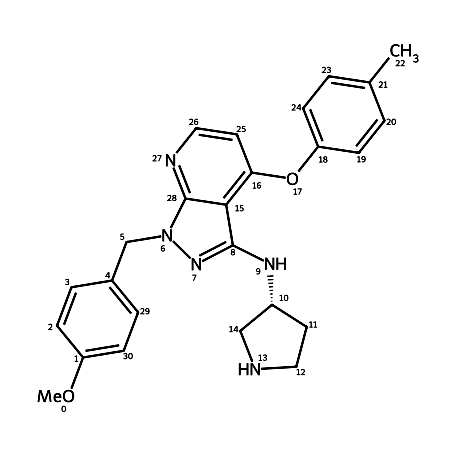 COc1ccc(Cn2nc(N[C@@H]3CCNC3)c3c(Oc4ccc(C)cc4)ccnc32)cc1